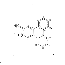 C=C/C=C(\C=C/C)c1ccccc1-c1ccccc1